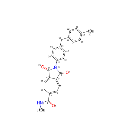 CC(C)(C)NC(=O)C1=CC=C2C(=O)N(c3ccc(Cc4ccc(C(C)(C)C)cc4)cc3)C(=O)C2=CC1